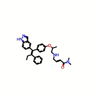 CC/C(=C(/c1ccc(OC(C)CNC/C=C/C(=O)N(C)C)cc1)c1ccc2[nH]ncc2c1)c1ccccc1